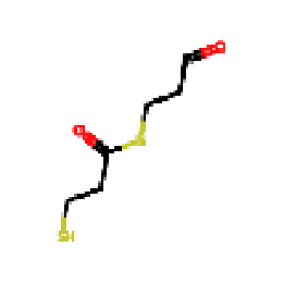 O=CCCSC(=O)CCS